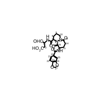 O=CC(CC(=O)O)NC(=O)C1CCCN2C(=O)CCC(NC(=O)c3ccc4c(c3)OCO4)C(=O)N12